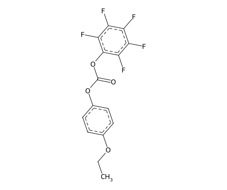 CCOc1ccc(OC(=O)Oc2c(F)c(F)c(F)c(F)c2F)cc1